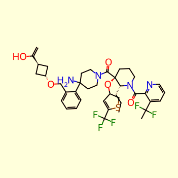 C=C(O)[C@H]1C[C@H](OCc2ccccc2C2(N)CCN(C(=O)[C@]3(OC4C=C(C(F)(F)F)SC4)CCCN(C(=O)c4ncccc4C(C)(F)F)[C@@H]3CCC)CC2)C1